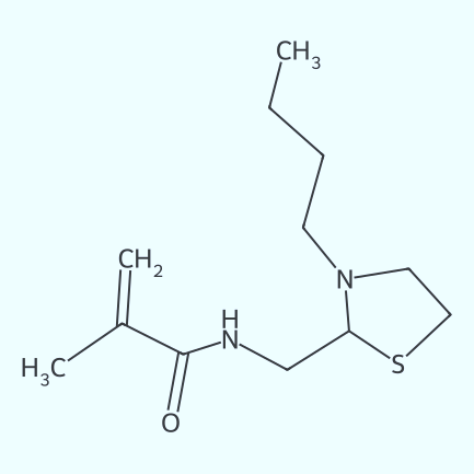 C=C(C)C(=O)NCC1SCCN1CCCC